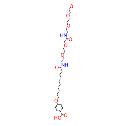 O=[C]COCCOCCNC(=O)COCCOCCNC(=O)CCCCCCCCCOc1ccc(C(=O)O)cc1